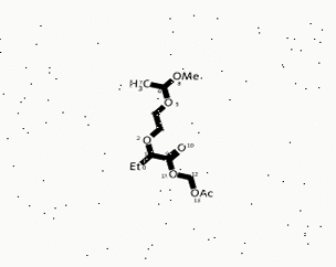 CCC(OCCOC(C)OC)C(=O)OCOC(C)=O